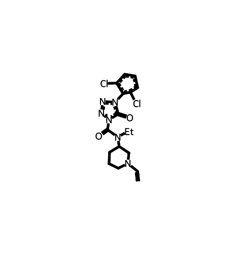 C=CN1CCCC(N(CC)C(=O)n2nnn(-c3c(Cl)cccc3Cl)c2=O)C1